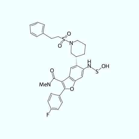 CNC(=O)c1c(-c2ccc(F)cc2)oc2cc(NSO)c([C@H]3CCCN(S(=O)(=O)CCc4ccccc4)C3)cc12